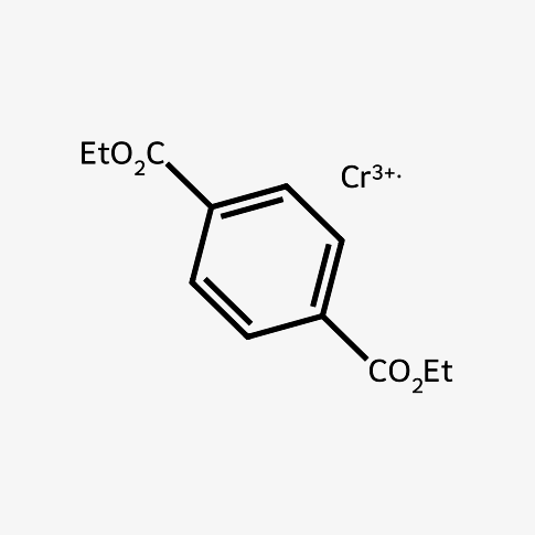 CCOC(=O)c1ccc(C(=O)OCC)cc1.[Cr+3]